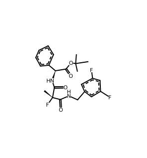 CC(C)(C)OC(=O)[C@@H](NC(=O)[C@@](C)(F)C(=O)NCc1cc(F)cc(F)c1)c1ccccc1